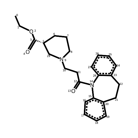 CCOC(=O)[C@@H]1CCCN(CCC(=O)N2c3ccccc3CCc3ccccc32)C1